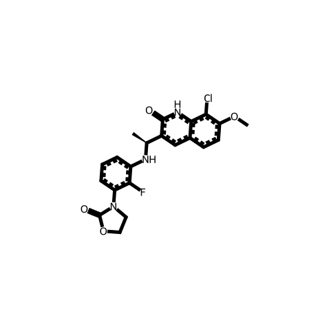 COc1ccc2cc([C@H](C)Nc3cccc(N4CCOC4=O)c3F)c(=O)[nH]c2c1Cl